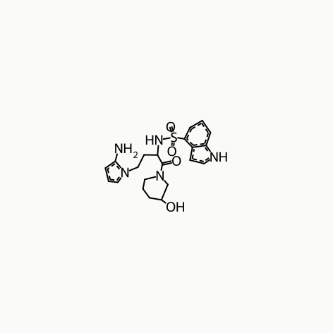 Nc1cccn1CCC(NS(=O)(=O)c1cccc2[nH]ccc12)C(=O)N1CCCC(O)C1